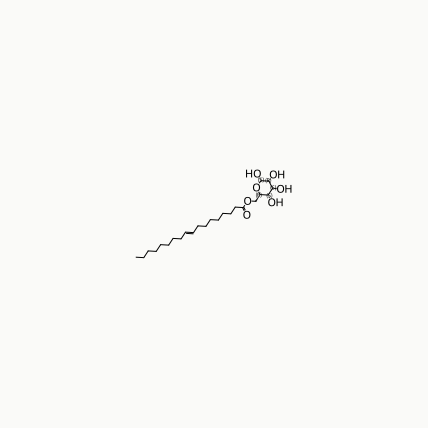 CCCCCCCCC=CCCCCCCCC(=O)OC[C@H]1O[C@H](O)[C@H](O)[C@@H](O)[C@@H]1O